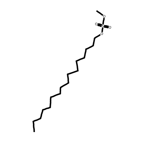 CCCCCCCCCCCCCCCCOS(=O)(=O)OC